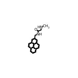 CNCC(=O)NCc1cc2ccc3cccc4ccc(c1)c2c34